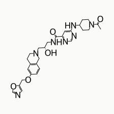 CC(=O)N1CCC(Nc2cc(C(=O)NC[C@H](O)CN3CCc4cc(OCc5cnco5)ccc4C3)ncn2)CC1